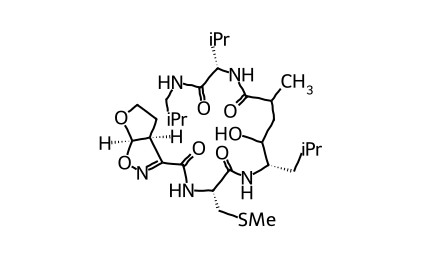 CSC[C@H](NC(=O)C1=NO[C@H]2OCC[C@@H]12)C(=O)N[C@@H](CC(C)C)C(O)CC(C)C(=O)N[C@H](C(=O)NCC(C)C)C(C)C